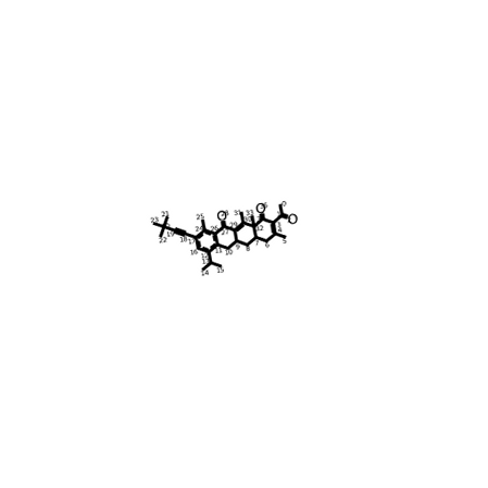 CC(=O)C1=C(C)CC2CC3Cc4c(C(C)C)cc(C#CC(C)(C)C)c(C)c4C(=O)C3=C(C)C2(C)C1=O